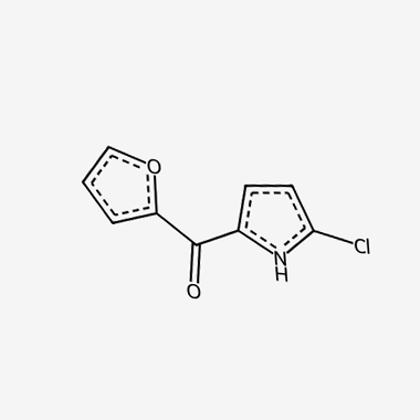 O=C(c1ccc(Cl)[nH]1)c1ccco1